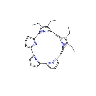 CCc1c2[nH]c(c1CC)-c1cccc(n1)-c1cccc(n1)-c1cccc(n1)/C=c1\[nH]/c(c(CC)c1CC)=C\2